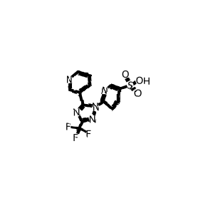 O=S(=O)(O)c1ccc(-n2nc(C(F)(F)F)nc2-c2cccnc2)nc1